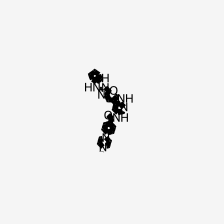 CN1CCN(c2ccc(C(=O)Nc3cnc4[nH]cc(C=C5N=C(NC6CC7CCC6C7)NC5=O)c4c3)cc2)CC1